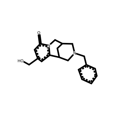 O=c1cc(CO)cc2n1CC1CC2CN(Cc2ccccc2)C1